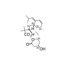 CC1C=C2C=C[C@H](C)[C@H](CC[C@@H]3C[C@@H](O)CC(=O)O3)[C@@H]2[C@H]([C@@H](C)C(C)(C)C(=O)O)C1